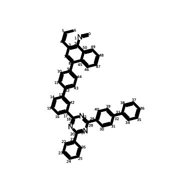 C=Nc1c(/C=C\C)cc(-c2ccc(-c3cccc(-c4nc(-c5ccccc5)nc(-c5ccc(-c6ccccc6)cc5)n4)c3)cc2)c2ccccc12